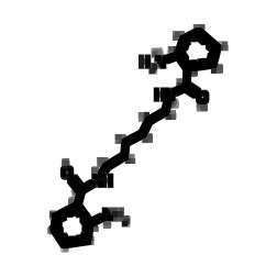 Nc1ccccc1C(=O)NCCCCCCNC(=O)c1ccccc1N